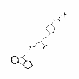 CC(C)(C)OC(=O)NC1CCC(OC[C@H](CCC(=O)OCC2c3ccccc3-c3ccccc32)C(=O)O)CC1